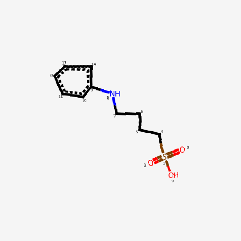 O=S(=O)(O)CCCCNc1ccccc1